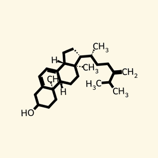 C=C(CC[C@@H](C)[C@H]1CC[C@H]2C3=CC=C4CC(O)CC[C@]4(C)[C@H]3CC[C@]12C)C(C)C